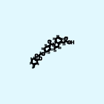 Cc1ccc2c(c1)OC(COc1ccc(C(=O)n3c(C)cc4c(CC(=O)O)cccc43)cc1)O2